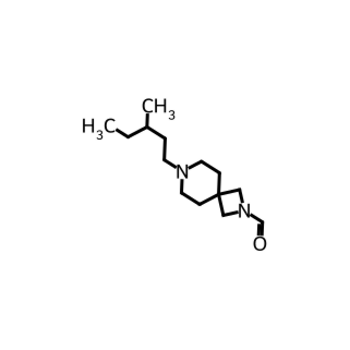 CCC(C)CCN1CCC2(CC1)CN(C=O)C2